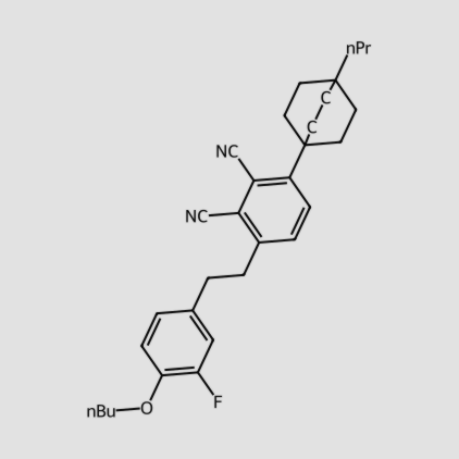 CCCCOc1ccc(CCc2ccc(C34CCC(CCC)(CC3)CC4)c(C#N)c2C#N)cc1F